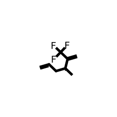 C=CC[C](C)C(=C)C(F)(F)F